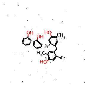 Cc1cc(Cc2cc(C)c(O)cc2C(C)C)c(C(C)C)cc1O.Oc1ccccc1.Oc1ccccc1